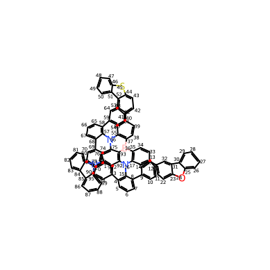 c1ccc(-c2cccc(-c3ccccc3)c2N2c3cc(-c4ccc5oc6ccccc6c5c4)ccc3B3c4ccc(-c5ccc6sc7ccccc7c6c5)cc4N(c4c(-c5ccccc5)cccc4-c4ccccc4)c4cc(-n5c6ccccc6c6ccccc65)cc2c43)cc1